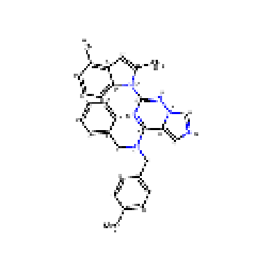 COc1ccc(CN(Cc2ccccc2)c2nc(-n3c(C)cc4c(C#N)cccc43)nn3cncc23)cc1